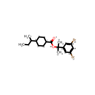 CCC(C)C1CCC(C(=O)OC(C)(C)c2cc(Br)cc(Br)c2)CC1